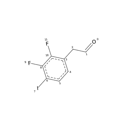 O=CCc1ccc(I)c(F)c1F